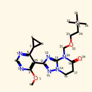 COc1ncnc(C2CC2)c1-c1nc2n(n1)CCC(=O)N2COCC[Si](C)(C)C